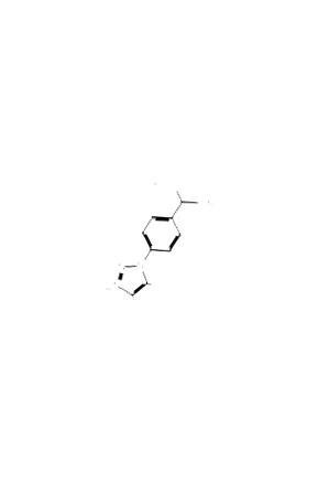 COC(C(=O)O)c1ccc(-n2ccnn2)cc1